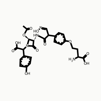 CC(=O)O[C@H]1[C@H](NC(=O)C(/C=N\O)c2ccc(OCCC(N)C(=O)O)cc2)C(=O)N1C(C(=O)O)c1ccc(O)cc1